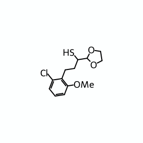 COc1cccc(Cl)c1CCC(S)C1OCCO1